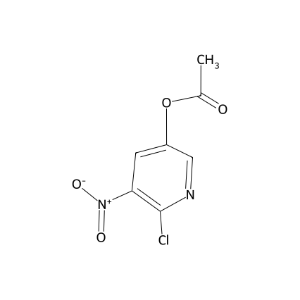 CC(=O)Oc1cnc(Cl)c([N+](=O)[O-])c1